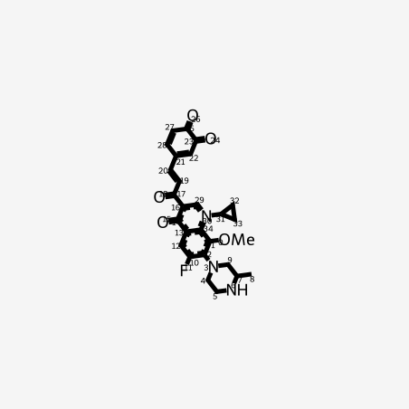 COc1c(N2CCNC(C)C2)c(F)cc2c(=O)c(C(=O)C=CC3=CC(=O)C(=O)C=C3)cn(C3CC3)c12